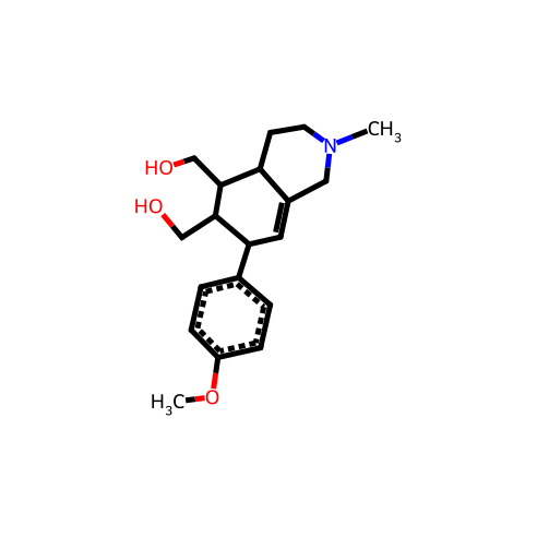 COc1ccc(C2C=C3CN(C)CCC3C(CO)C2CO)cc1